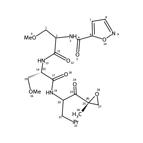 COCC(NC(=O)c1ccno1)C(=O)N[C@@H](COC)C(=O)NC(CC(C)C)C(=O)[C@@]1(C)CO1